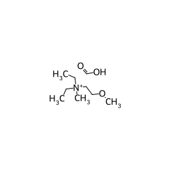 CC[N+](C)(CC)CCOC.O=CO